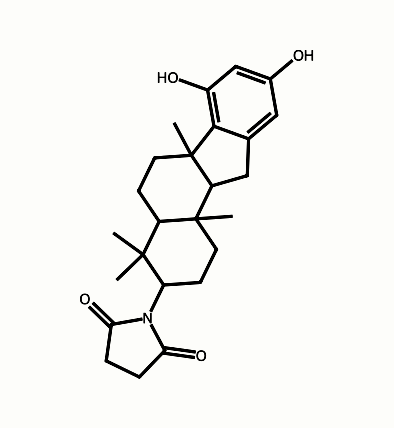 CC12CCC3C(C)(C)C(N4C(=O)CCC4=O)CCC3(C)C1Cc1cc(O)cc(O)c12